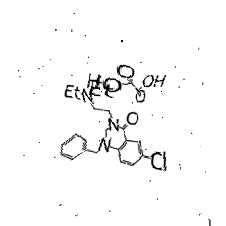 CCN(CC)CCN1CN(Cc2ccccc2)c2ccc(Cl)cc2C1=O.O=C(O)C(=O)O